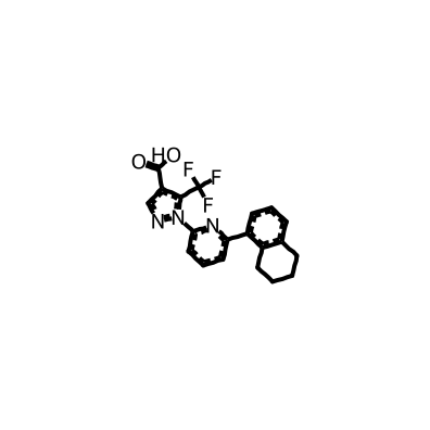 O=C(O)c1cnn(-c2cccc(-c3cccc4c3CCCC4)n2)c1C(F)(F)F